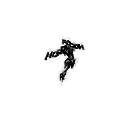 C#Cc1c(F)ccc2cc(O)cc(-c3nc(OC)c4c(N5CCC[C@@](C)(O)C5)nc(OC[C@]56CCC[C@H]5N(CC5CC(F)(F)C5)CCC6)nc4c3F)c12